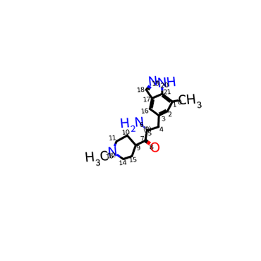 Cc1cc(C[C@@H](N)C(=O)C2CCN(C)CC2)cc2cn[nH]c12